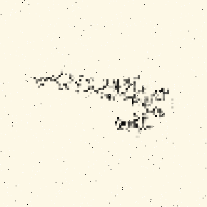 CCCC1CCC(C2CC=C(c3cnc(-c4ccc(C[C@@H](C)NC(=O)c5ccc(C(C)(C)C)s5)cc4)nc3)CC2)CC1